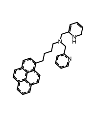 C1=CCNC(CN(CCCCc2ccc3ccc4cccc5ccc2c3c45)Cc2ccccn2)=C1